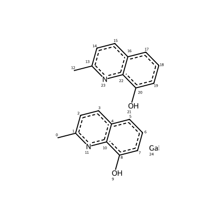 Cc1ccc2cccc(O)c2n1.Cc1ccc2cccc(O)c2n1.[Ga]